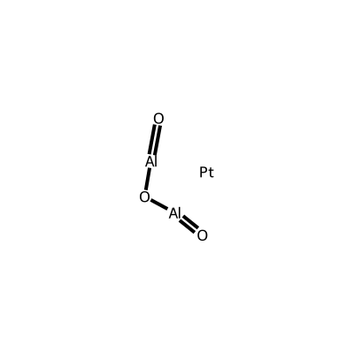 [O]=[Al][O][Al]=[O].[Pt]